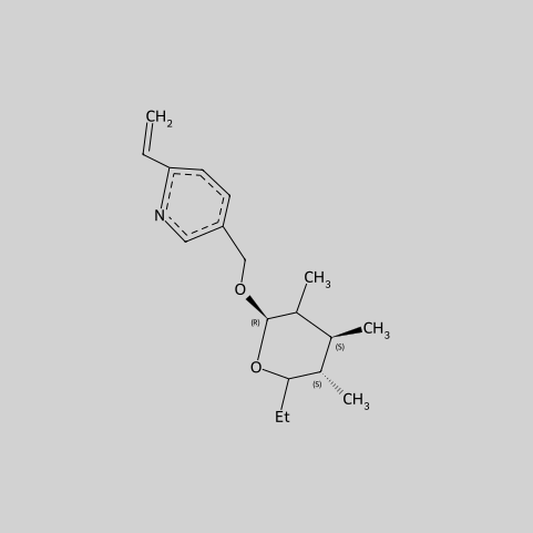 C=Cc1ccc(CO[C@@H]2OC(CC)[C@@H](C)[C@H](C)C2C)cn1